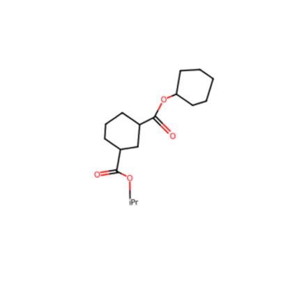 CC(C)OC(=O)C1CCCC(C(=O)OC2CCCCC2)C1